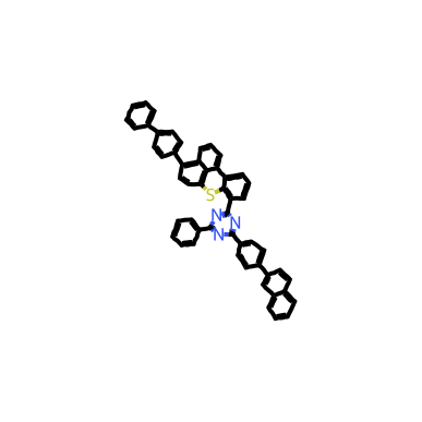 c1ccc(-c2ccc(-c3ccc4c5c(cccc35)-c3cccc(-c5nc(-c6ccccc6)nc(-c6ccc(-c7ccc8ccccc8c7)cc6)n5)c3S4)cc2)cc1